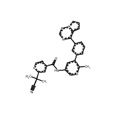 Cc1ncc(NC(=O)c2ccnc(C(C)(C)C#N)c2)cc1-c1cccc(-c2ncnn3cccc23)c1